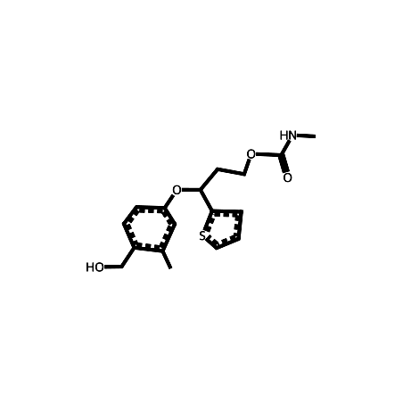 CNC(=O)OCCC(Oc1ccc(CO)c(C)c1)c1cccs1